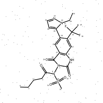 CCCCC(=O)N(n1c(=O)[nH]c2cc(C(F)(F)F)c(-c3ccnn3CC)cc2c1=O)S(C)(=O)=O